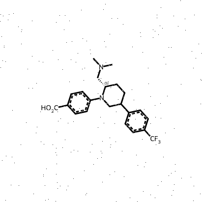 CN(C)C[C@@H]1CCC(c2ccc(C(F)(F)F)cc2)CN1c1ccc(C(=O)O)cc1